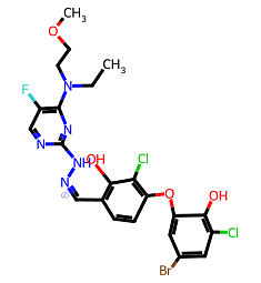 CCN(CCOC)c1nc(N/N=C\c2ccc(Oc3cc(Br)cc(Cl)c3O)c(Cl)c2O)ncc1F